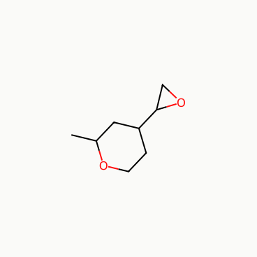 CC1CC(C2CO2)CCO1